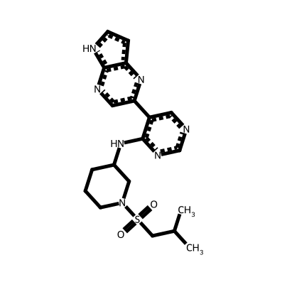 CC(C)CS(=O)(=O)N1CCCC(Nc2ncncc2-c2cnc3[nH]ccc3n2)C1